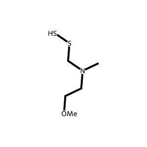 COCCN(C)CSS